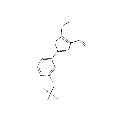 COc1sc(-c2cccc(OC(F)(F)F)c2)nc1C=O